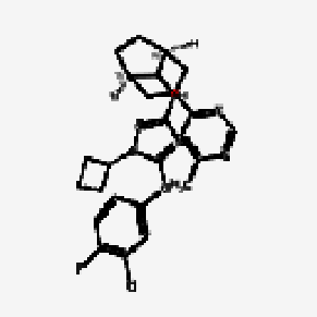 Cc1cc(N2C[C@H]3CC[C@@H](C2)C3Nc2nc(Oc3ccc(F)c(Cl)c3)n(C3CCC3)n2)ncn1